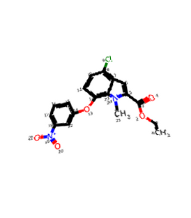 CCOC(=O)c1cc2c(Cl)ccc(Oc3cccc([N+](=O)[O-])c3)c2n1C